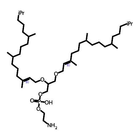 C/C(=C\COCC(COP(=O)(O)OCCN)OC/C=C(\C)CCCC(C)CCCC(C)CCCC(C)C)CCCC(C)CCCC(C)CCCC(C)C